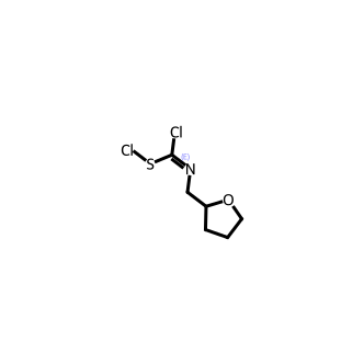 ClS/C(Cl)=N\CC1CCCO1